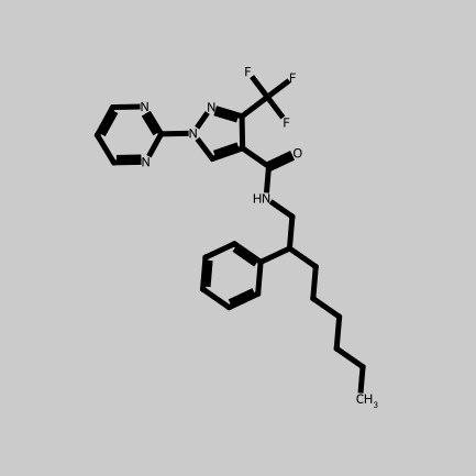 CCCCCCC(CNC(=O)c1cn(-c2ncccn2)nc1C(F)(F)F)c1ccccc1